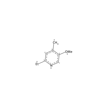 CCc1cc(C)c(OC)cn1